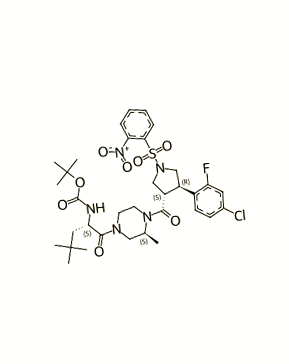 C[C@H]1CN(C(=O)[C@H](CC(C)(C)C)NC(=O)OC(C)(C)C)CCN1C(=O)[C@@H]1CN(S(=O)(=O)c2ccccc2[N+](=O)[O-])C[C@H]1c1ccc(Cl)cc1F